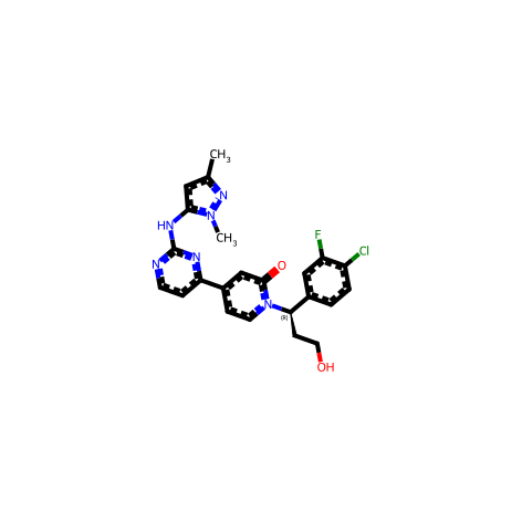 Cc1cc(Nc2nccc(-c3ccn([C@H](CCO)c4ccc(Cl)c(F)c4)c(=O)c3)n2)n(C)n1